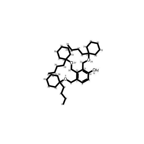 CCCCC1(OCc2ccc(O)c(COC3(CCCC)CCCCC3)c2COC2(CCCC)CCCCC2)CCCCC1